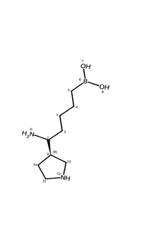 NC(CCCCB(O)O)[C@@H]1CCNC1